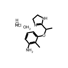 Cc1c(N)cccc1OC(C)C1=NCCN1.Cl.Cl.O